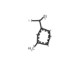 [CH2]CC(I)c1cccc([CH2])c1